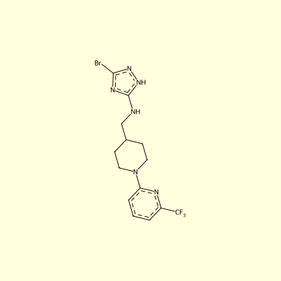 FC(F)(F)c1cccc(N2CCC(CNc3nc(Br)n[nH]3)CC2)n1